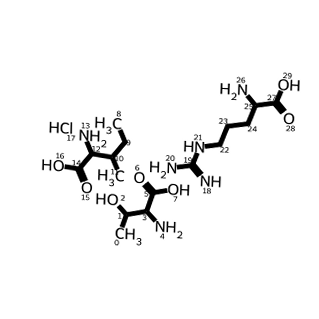 CC(O)C(N)C(=O)O.CCC(C)C(N)C(=O)O.Cl.N=C(N)NCCCC(N)C(=O)O